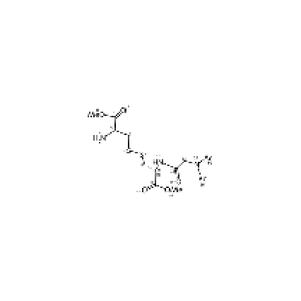 COC(=O)C(N)CSSC[C@H](NC(=O)CN(C(C)=O)C(C)=O)C(=O)OC